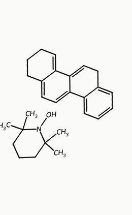 C1=c2c(ccc3c2=CCc2ccccc2-3)CCC1.CC1(C)CCCC(C)(C)N1O